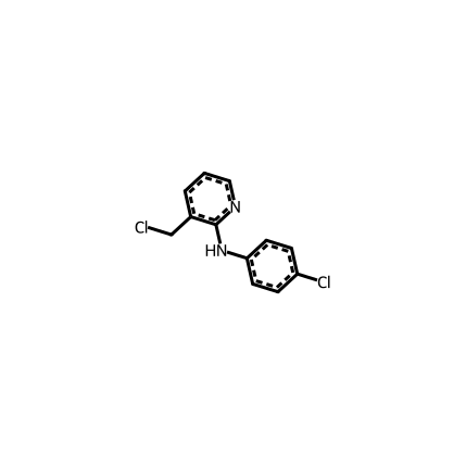 ClCc1cccnc1Nc1ccc(Cl)cc1